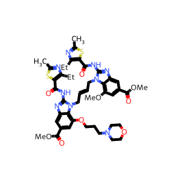 CCc1nc(C)sc1C(=O)Nc1nc2cc(C(=O)OC)cc(OC)c2n1C/C=C/Cn1c(NC(=O)c2sc(C)nc2CC)nc2cc(C(=O)OC)cc(OCCCN3CCOCC3)c21